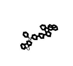 C1=CC2=C(CC1)c1c(-c3ccc(-c4ccc(N(c5ccccc5)c5ccc6oc7ccccc7c6c5)cc4)cc3)cccc1C21CC2CCC3CC2CC1C3